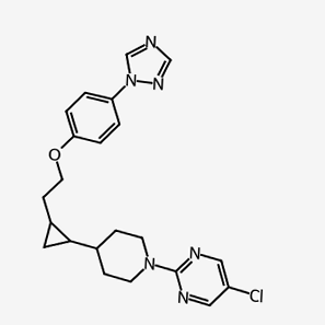 Clc1cnc(N2CCC(C3CC3CCOc3ccc(-n4cncn4)cc3)CC2)nc1